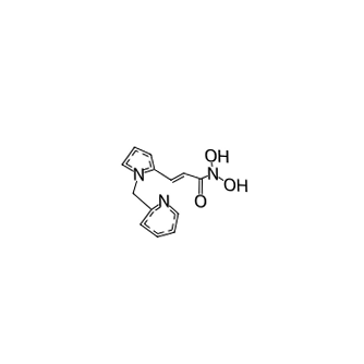 O=C(C=Cc1cccn1Cc1ccccn1)N(O)O